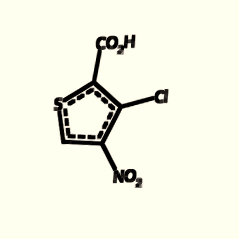 O=C(O)c1scc([N+](=O)[O-])c1Cl